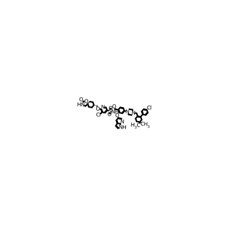 CC1(C)CCC(CN2CCN(c3ccc(C(=O)NS(=O)(=O)c4cnc(OC[C@H]5CC[C@@]6(CC5)CNC(=O)O6)c(Cl)c4)c(Oc4cnc5[nH]ccc5c4)c3)CC2)=C(c2ccc(Cl)cc2)C1